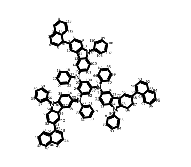 C1=CC2=CC=CC(c3ccc4c(c3)c3cc(N(c5ccccc5)c5cc(N(c6ccccc6)c6ccc7c(c6)C6C=C(c8cccc9ccccc89)C=CC6N7c6ccccc6)cc(N(c6ccccc6)c6ccc7c(c6)c6c(n7-c7ccccc7)CCC(c7cccc8ccccc78)=C6)c5)ccc3n4-c3ccccc3)C2C=C1